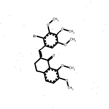 COc1cc(C=C2CCc3ccc(OC)c(OC)c3C2=O)c(Br)c(OC)c1OC